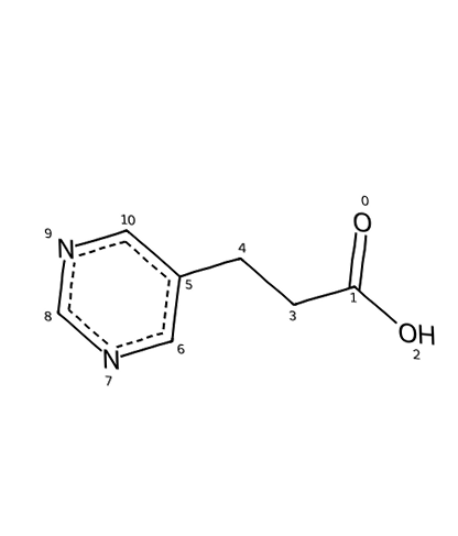 O=C(O)CCc1cncnc1